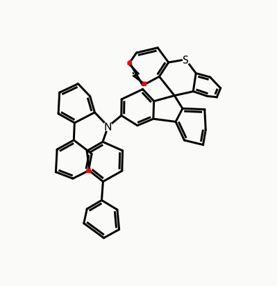 c1ccc(-c2ccc(N(c3ccc4c(c3)-c3ccccc3C43c4ccccc4Sc4ccc5ccccc5c43)c3ccccc3-c3ccccc3)cc2)cc1